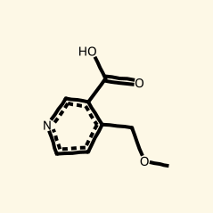 COCc1ccncc1C(=O)O